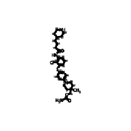 CC1(COC(N)=O)CCN(c2cnc(Sc3cccc(NC(=O)CCCC4CCNCC4)c3Cl)cn2)CC1